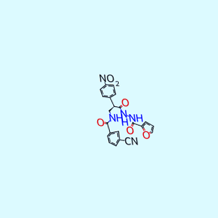 N#Cc1cccc(C(=O)NC[C@H](C(=O)NNC(=O)c2ccco2)c2ccc([N+](=O)[O-])cc2)c1